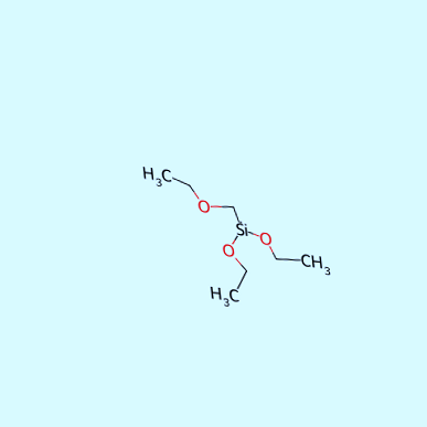 CCOC[Si](OCC)OCC